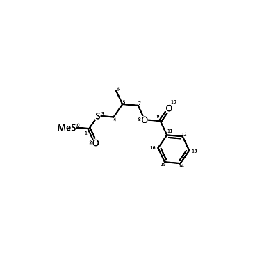 CSC(=O)SCC(C)COC(=O)c1ccccc1